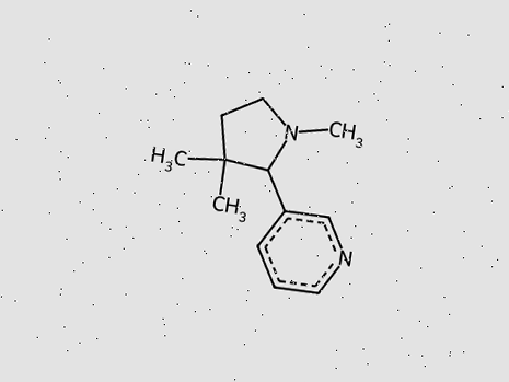 CN1CCC(C)(C)C1c1cccnc1